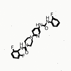 O=C(Nc1ccc(N2CCN(C(=O)Nc3c(F)cccc3F)CC2)nc1)Nc1ccccc1F